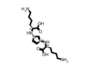 NCCCC[C@H](Nn1cc[n+](N[C@@H](CCCCN)C(=O)O)c1)C(=O)O